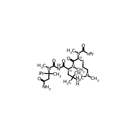 CCCC(=O)N(C)[C@@H](SCCN(C)C)C(=O)N(C)[C@@H](CC(C)(C)O)C(=O)NC(=O)N(C)C(C)(CC(N)=O)C(C)C